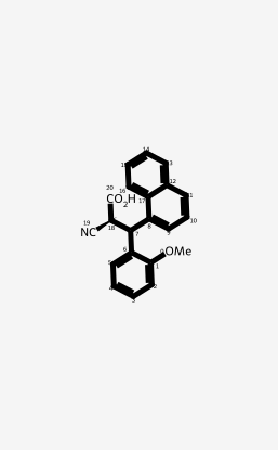 COc1ccccc1C(c1cccc2ccccc12)[C@@H](C#N)C(=O)O